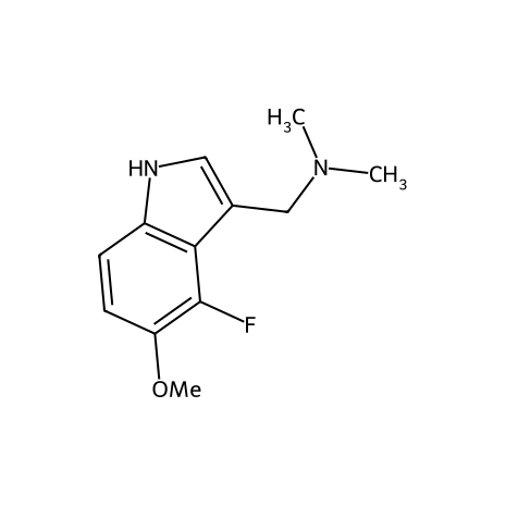 COc1ccc2[nH]cc(CN(C)C)c2c1F